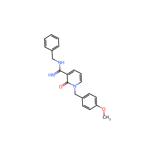 COc1ccc(Cn2cccc(C(=N)NCc3ccccc3)c2=O)cc1